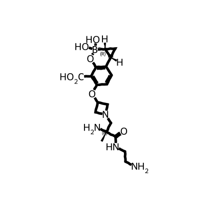 C[C@@](N)(CN1CC(Oc2ccc3c(c2C(=O)O)O[B-](O)(O)[C@@H]2C[C@H]32)C1)C(=O)NCCN